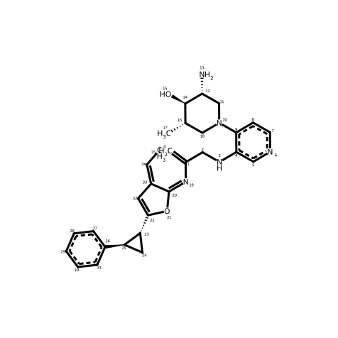 C=C(CNc1cnccc1N1C[C@@H](N)[C@H](O)[C@@H](C)C1)/N=C1/OC([C@@H]2C[C@H]2c2ccccc2)=C/C1=C/C